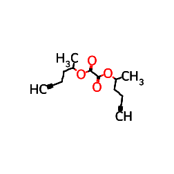 C#CCCC(C)OC(=O)C(=O)OC(C)CCC#C